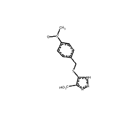 C[S+]([O-])c1ccc(CSc2[nH]nnc2C(=O)O)cc1